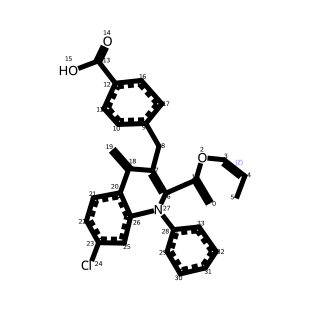 C=C(O/C=C\C)C1=C(Cc2ccc(C(=O)O)cc2)C(=C)c2ccc(Cl)cc2N1c1ccccc1